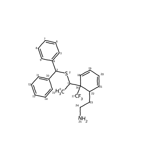 CC(SC(c1ccccc1)c1ccccc1)C1(C(F)(F)F)C=CC=CC1CCN